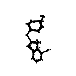 Fc1cccc2cc(Cc3ccc(Br)cc3)[nH]c12